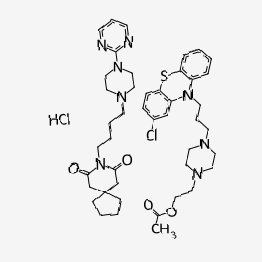 CC(=O)OCCN1CCN(CCCN2c3ccccc3Sc3ccc(Cl)cc32)CC1.Cl.O=C1CC2(CCCC2)CC(=O)N1CCCCN1CCN(c2ncccn2)CC1